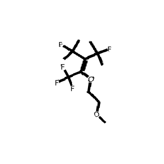 COCCOC(=C(C(C)(C)F)C(C)(C)F)C(F)(F)F